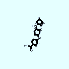 O=C(O)c1ccc(N=C2C=CC3=C(C2)Sc2ccccc2N3)cc1